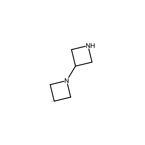 [CH]1CN(C2CNC2)C1